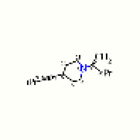 C=C(C(C)C)N1CCC(C#CC(C)C)CC1